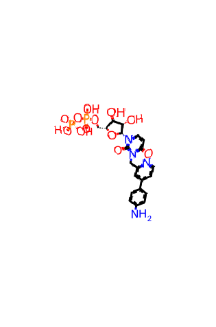 Nc1ccc(-c2ccnc(Cn3c(=O)ccn([C@@H]4O[C@H](COP(=O)(O)OP(=O)(O)O)C(O)[C@@H]4O)c3=O)c2)cc1